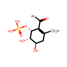 CC(=O)C(=O)C1=C(C(=O)O)C[C@@H](O)[C@H](O)[C@@H]1OP(=O)(O)O